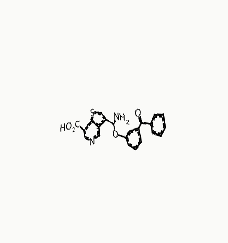 NC(Oc1cccc(C(=O)c2ccccc2)c1)c1csc2c(C(=O)O)cncc12